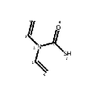 C=CN(C=C)C(=O)S